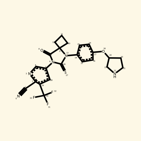 N#Cc1ncc(N2C(=O)C3(CCC3)N(c3ccc(OC4CCNC4)cc3)C2=S)cc1C(F)(F)F